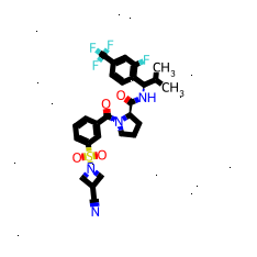 CC(C)[C@H](NC(=O)[C@H]1CCCN1C(=O)c1cccc(S(=O)(=O)N2CC(C#N)C2)c1)c1ccc(C(F)(F)F)cc1F